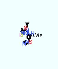 COc1cc(C(=O)N2CCN(C)C[C@H]2C)ccc1Nc1nc(OCC2CC2)c2c(C)cn(SI)c2n1